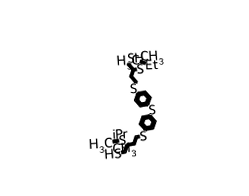 CCC(C)(C)SC(CS)CCSc1ccc(Sc2ccc(SCCC(CS)SC(C)(C)C(C)C)cc2)cc1